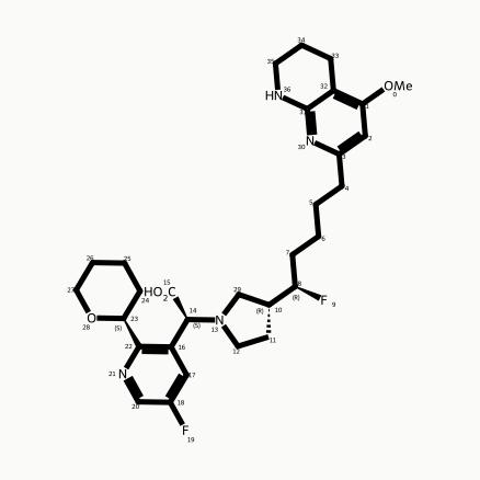 COc1cc(CCCC[C@@H](F)[C@@H]2CCN([C@H](C(=O)O)c3cc(F)cnc3[C@@H]3CCCCO3)C2)nc2c1CCCN2